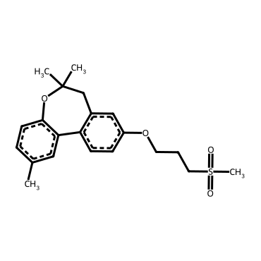 Cc1ccc2c(c1)-c1ccc(OCCCS(C)(=O)=O)cc1CC(C)(C)O2